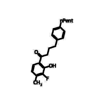 CCCCCc1ccc(CCCC(=O)c2ccc(C)c(F)c2O)cc1